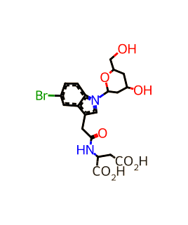 O=C(O)CC(NC(=O)Cc1cn(C2CC(O)CC(CO)O2)c2ccc(Br)cc12)C(=O)O